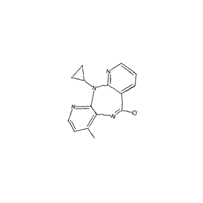 Cc1ccnc2c1N=C(Cl)c1cccnc1N2C1CC1